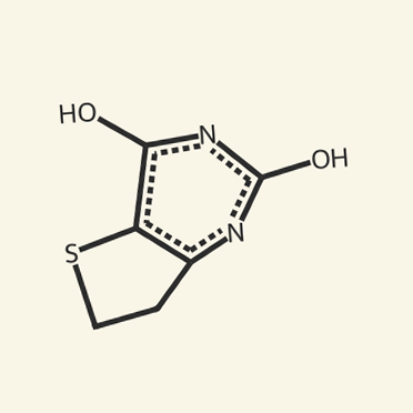 Oc1nc(O)c2c(n1)CCS2